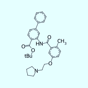 Cc1ccc(OCCN2CCCC2)cc1C(=O)Nc1cc(-c2ccccc2)ccc1C(=O)OC(C)(C)C